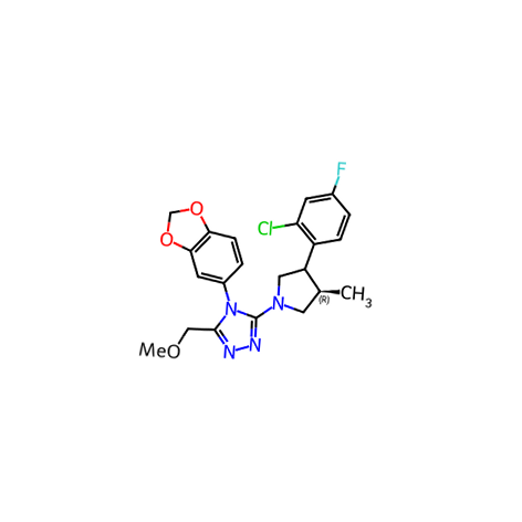 COCc1nnc(N2CC(c3ccc(F)cc3Cl)[C@@H](C)C2)n1-c1ccc2c(c1)OCO2